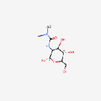 CN(N=O)C(=O)NC1C(O)[C@H](O)C(CO)O[C@@H]1O